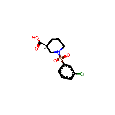 O=C(O)[C@H]1CCCN(S(=O)(=O)c2cccc(Cl)c2)C1